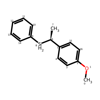 COc1ccc([C@H](C)[SiH2]c2ccccc2)cc1